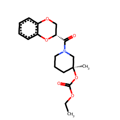 CCOC(=O)O[C@@]1(C)CCCN(C(=O)[C@H]2COc3ccccc3O2)C1